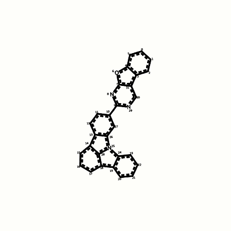 c1ccc2c(c1)oc1nc(-c3ccc4c5cccc6c7ccccc7n(c4c3)c65)ncc12